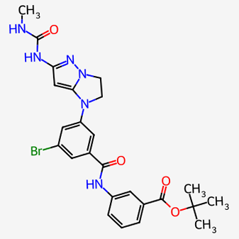 CNC(=O)Nc1cc2n(n1)CCN2c1cc(Br)cc(C(=O)Nc2cccc(C(=O)OC(C)(C)C)c2)c1